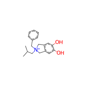 CC(C)C[N+]1(Cc2ccccc2)Cc2cc(O)c(O)cc2C1